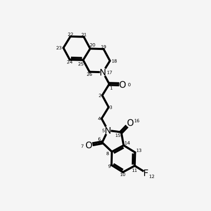 O=C(CCCN1C(=O)c2ccc(F)cc2C1=O)N1CCC2CCCC=C2C1